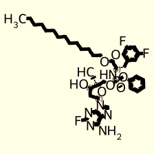 C#C[C@]1(CO[P@@](=O)(N[C@@H](Cc2cc(F)cc(F)c2)C(=O)OCCCCCCCCCCCCCC)Oc2ccccc2)O[C@@H](n2cnc3c(N)nc(F)nc32)C[C@@H]1O